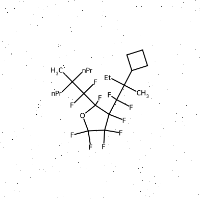 CCCC(C)(CCC)C(F)(F)C1(F)OC(F)(F)C(F)(F)C1(F)C(F)(F)C(C)(CC)C1CCC1